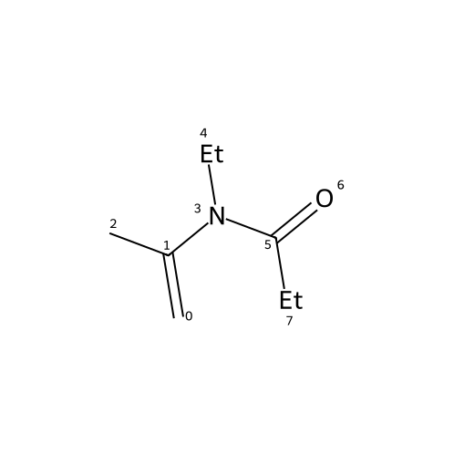 C=C(C)N(CC)C(=O)CC